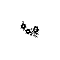 O=C(NO)[C@@]1(NS(=O)(=O)c2ccc(Oc3ccc(Cl)cc3)cc2)C[C@H]2CC[C@@H](C1)O2